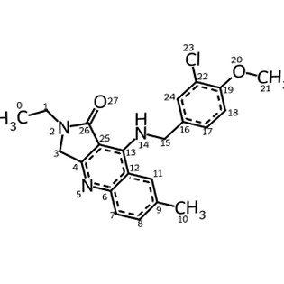 CCN1Cc2nc3ccc(C)cc3c(NCc3ccc(OC)c(Cl)c3)c2C1=O